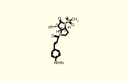 CCC[C@H]1C(=O)N(S(C)(=O)=O)[C@H]2CCN(C(=O)/C=C/c3ccc(NC(C)=O)cc3)[C@H]12